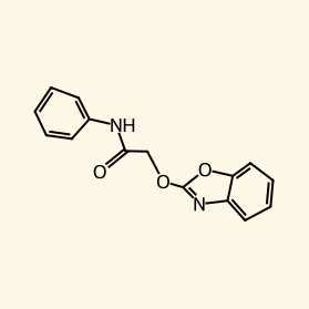 O=C(COc1nc2ccccc2o1)Nc1ccccc1